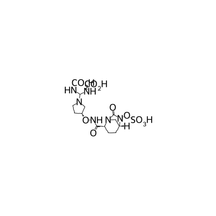 O=C(O)NC(NC(=O)O)N1CC[C@H](ONC(=O)[C@@H]2CC[C@@H]3CN2C(=O)N3OS(=O)(=O)O)C1